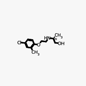 Cc1cc(Cl)ccc1OCCN[C@@H](C)CO